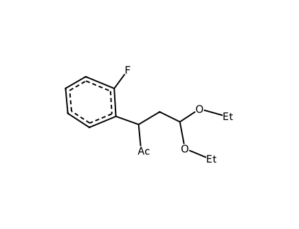 CCOC(CC(C(C)=O)c1ccccc1F)OCC